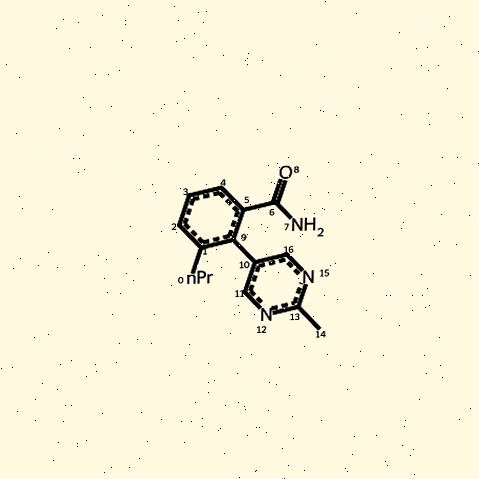 CCCc1cccc(C(N)=O)c1-c1cnc(C)nc1